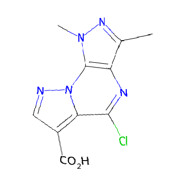 Cc1nn(C)c2c1nc(Cl)c1c(C(=O)O)cnn12